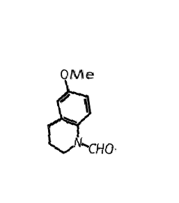 COc1ccc2c(c1)CCCN2[C]=O